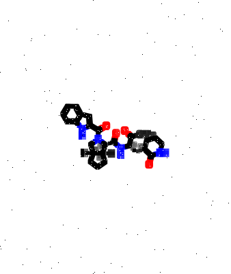 COC(=O)[C@H](C[C@@H]1CCCNC1=O)NC(=O)[C@@H]1[C@H]2CCC[C@H]2CN1C(=O)c1cc2ccccc2[nH]1